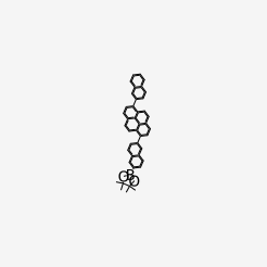 CC1(C)OB(c2ccc3cc(-c4ccc5ccc6c(-c7ccc8ccccc8c7)ccc7ccc4c5c76)ccc3c2)OC1(C)C